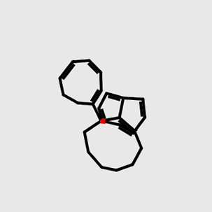 [C]1=C(C2=C\C=C/C=C/C=C\2)\C(/C2=C/C=C\C=C/CC2)CCCCCC/1